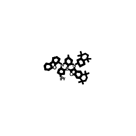 Cc1cc2c3c(c1)N(c1cccc4c1oc1ccccc14)c1ccc(C(C)C)cc1B3c1oc3cc4c(cc3c1N2c1ccc2c(c1)C(C)(C)CCC2(C)C)C(C)(C)CCC4(C)C